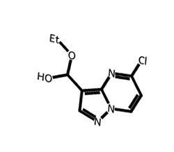 CCOC(O)c1cnn2ccc(Cl)nc12